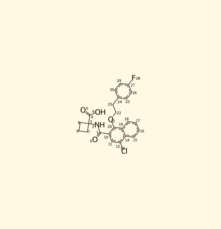 O=C(NC1(C(=O)O)CCC1)c1cc(Cl)c2ccccc2c1OCCc1ccc(F)cc1